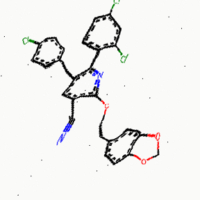 N#Cc1cc(-c2ccc(Cl)cc2)c(-c2ccc(Cl)cc2Cl)nc1OCc1ccc2c(c1)OCO2